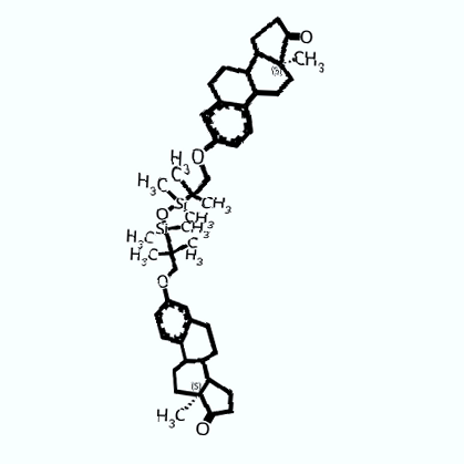 CC(C)(COc1ccc2c(c1)CCC1C2CC[C@]2(C)C(=O)CCC12)[Si](C)(C)O[Si](C)(C)C(C)(C)COc1ccc2c(c1)CCC1C2CC[C@]2(C)C(=O)CCC12